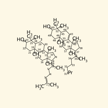 CC(C)=CCCC(C)C1CCC2(C)C3=C(CCC12C)C1(C)CCC(O)C(C)(C)C1CC3.CC(C)CCCC(C)C1CCC2(C)C3=CCC4C(C)(CCC(O)C4(C)C)C3=CCC12C